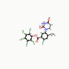 Cc1cc(F)c(C(=O)Oc2c(F)c(F)c(F)c(F)c2F)cc1N1CCC(=O)NC1=O